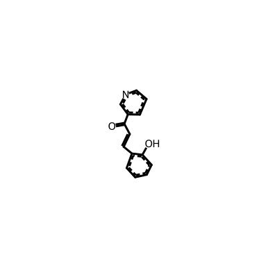 O=C(C=Cc1ccccc1O)c1cccnc1